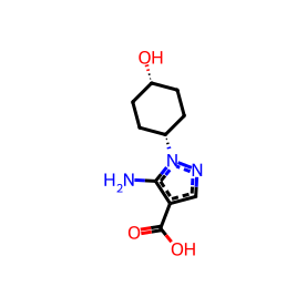 Nc1c(C(=O)O)cnn1[C@H]1CC[C@@H](O)CC1